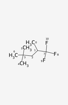 CC(CC(C)(C)C)C(F)(F)F